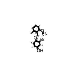 Cc1cccc(OC#N)c1COc1ccc(O)cc1Br